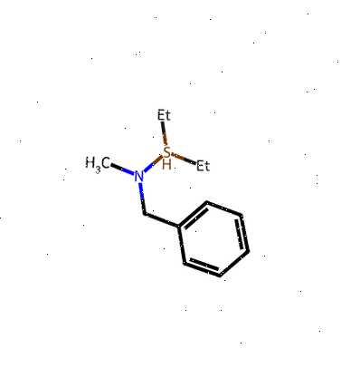 CC[SH](CC)N(C)Cc1ccccc1